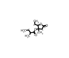 CCC(C)C(=O)OC1(C)CC(=O)OC1CC